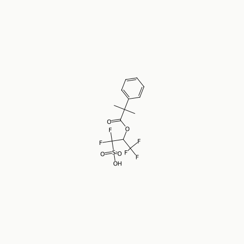 CC(C)(C(=O)OC(C(F)(F)F)C(F)(F)S(=O)(=O)O)c1ccccc1